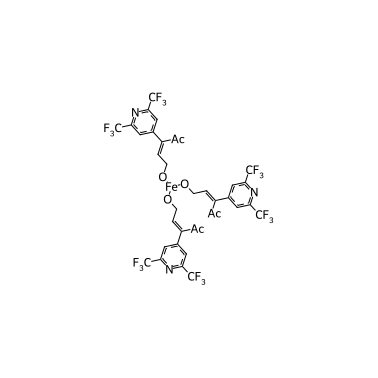 CC(=O)/C(=C\C[O][Fe]([O]C/C=C(\C(C)=O)c1cc(C(F)(F)F)nc(C(F)(F)F)c1)[O]C/C=C(\C(C)=O)c1cc(C(F)(F)F)nc(C(F)(F)F)c1)c1cc(C(F)(F)F)nc(C(F)(F)F)c1